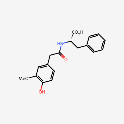 COc1cc(CC(=O)N[C@@H](Cc2ccccc2)C(=O)O)ccc1O